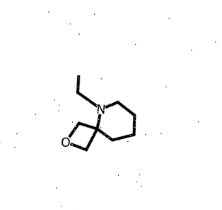 CCN1CCCCC12COC2